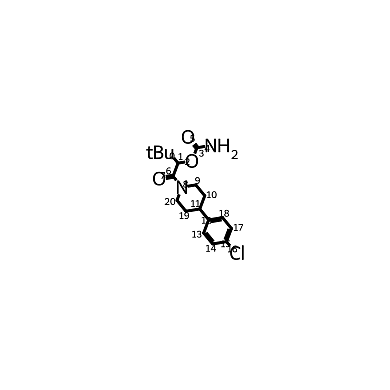 CC(C)(C)C(OC(N)=O)C(=O)N1CCC(c2ccc(Cl)cc2)CC1